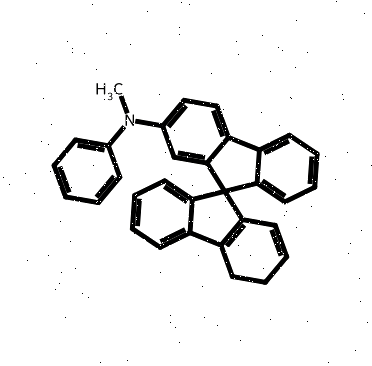 CN(c1ccccc1)c1ccc2c(c1)C1(C3=C(CCC=C3)c3ccccc31)c1ccccc1-2